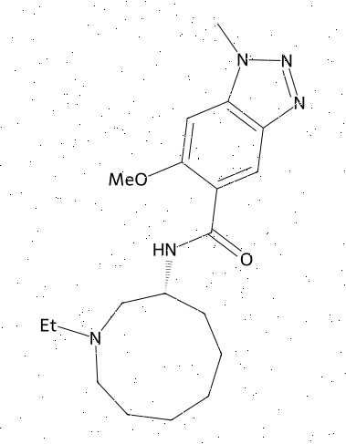 CCN1CCCCCC[C@@H](NC(=O)c2cc3nnn(C)c3cc2OC)C1